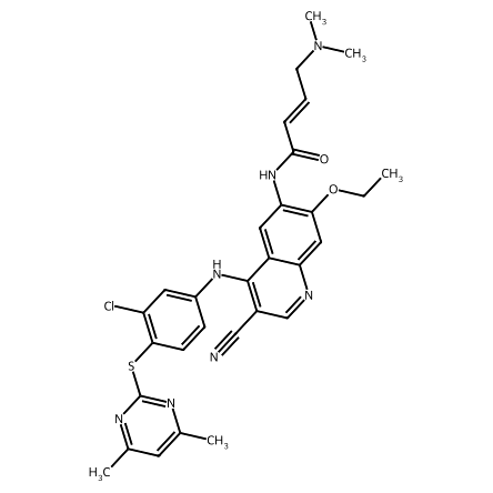 CCOc1cc2ncc(C#N)c(Nc3ccc(Sc4nc(C)cc(C)n4)c(Cl)c3)c2cc1NC(=O)/C=C/CN(C)C